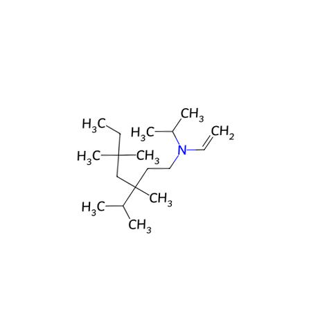 C=CN(CCC(C)(CC(C)(C)CC)C(C)C)C(C)C